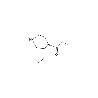 CCC1CNCCN1C(=O)OC